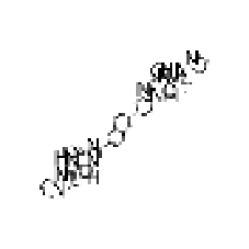 CC(C)[C@H](Nc1ccccn1)C(=O)N1CCC[C@H]1c1nc(-c2ccc3cc(-c4ccc5[nH]c([C@@H]6CCCN6C(=O)[C@@H](Nc6ccccn6)C(C)C)nc5c4)ccc3c2)c[nH]1